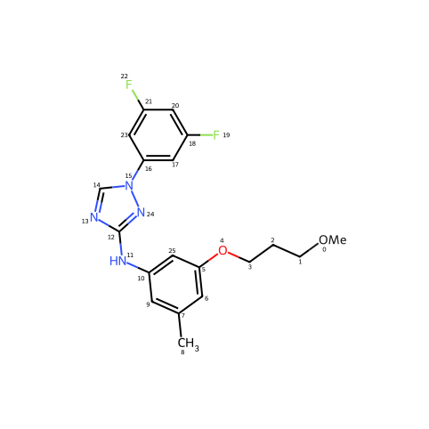 COCCCOc1cc(C)cc(Nc2ncn(-c3cc(F)cc(F)c3)n2)c1